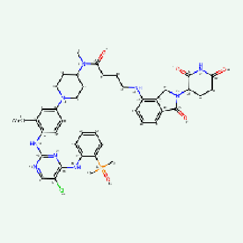 COc1cc(N2CCC(N(C)C(=O)CCCNc3cccc4c3CN(C3CCC(=O)NC3=O)C4=O)CC2)ccc1Nc1ncc(Cl)c(Nc2ccccc2P(C)(C)=O)n1